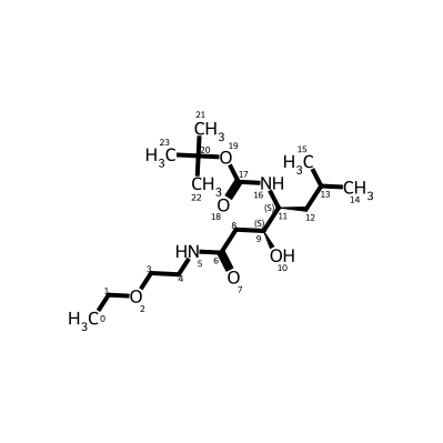 CCOCCNC(=O)C[C@H](O)[C@H](CC(C)C)NC(=O)OC(C)(C)C